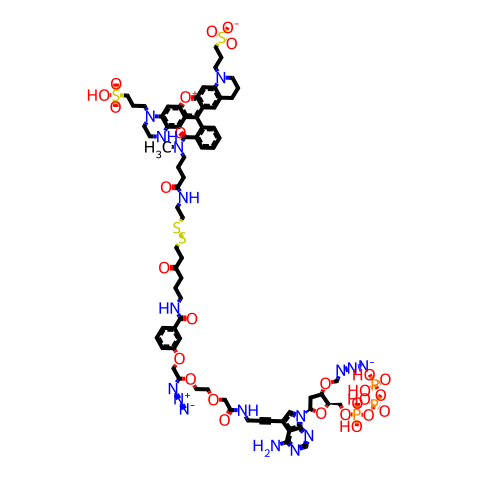 CN(CCCC(=O)NCCSSCCC(=O)CCCNC(=O)c1cccc(OCC(N=[N+]=[N-])OCCOCC(=O)NCC#Cc2cn([C@H]3CC(OCN=[N+]=[N-])[C@@H](COP(=O)(O)OP(=O)(O)OP(=O)(O)O)O3)c3ncnc(N)c23)c1)C(=O)c1ccccc1-c1c2cc3c(cc2[o+]c2cc4c(cc12)NCCN4CCCS(=O)(=O)O)N(CCCS(=O)(=O)[O-])CCC3